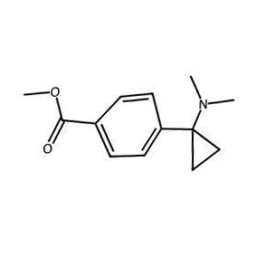 COC(=O)c1ccc(C2(N(C)C)CC2)cc1